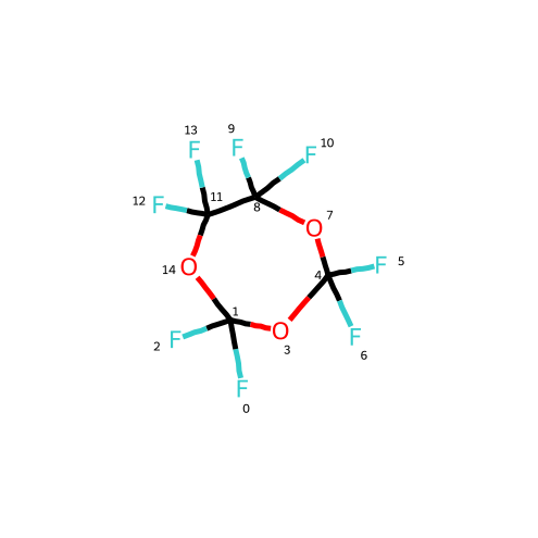 FC1(F)OC(F)(F)OC(F)(F)C(F)(F)O1